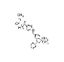 CCOC(=O)[C@H]1[C@@H]2Cc3cc(OCc4ccc5c(c4)C(c4ccccc4)CC5(C)C)ncc3[C@@H]21